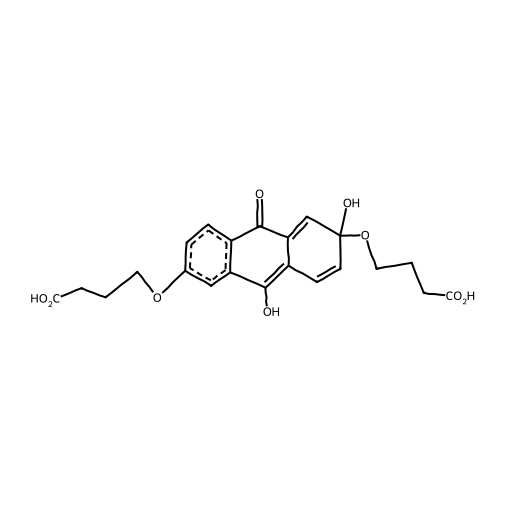 O=C(O)CCCOc1ccc2c(c1)C(O)=C1C=CC(O)(OCCCC(=O)O)C=C1C2=O